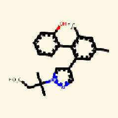 Cc1cc(-c2cnn(C(C)(C)CC(=O)O)c2)c(-c2ccccc2O)c(C(F)(F)F)c1